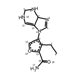 CCc1c(N2C=NC3NCNC=C32)coc1C(N)=O